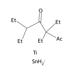 CCC(CC)C(=O)C(CC)(CC)C(C)=O.[SnH2].[Ti]